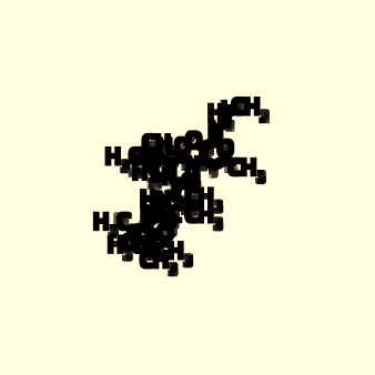 C=CCNC(=O)C(=O)C(CCC)NC(=O)[C@@H]1[C@@H]2[C@H](CN1C(=O)[C@@H](NC(=O)N[C@H](C(=O)C(C)(C)C)C(C)C)C(C)(C)C)C2(C)C